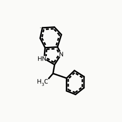 CC(c1ccccc1)c1nc2cc[c]cc2[nH]1